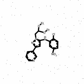 CCOC(Cn1nc(-c2cccnc2)cc1Nc1cc([N+](=O)[O-])ccc1Cl)OCC